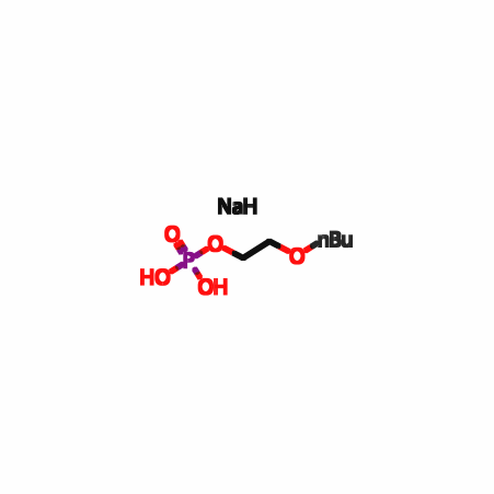 CCCCOCCOP(=O)(O)O.[NaH]